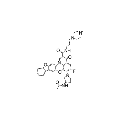 CC(=O)N[C@@H]1CCN(c2c(F)cc3c(=O)c(C(=O)NCCCN4CCN(C)CC4)cn4c3c2Oc2cc3c(cc2-4)oc2ccccc23)C1